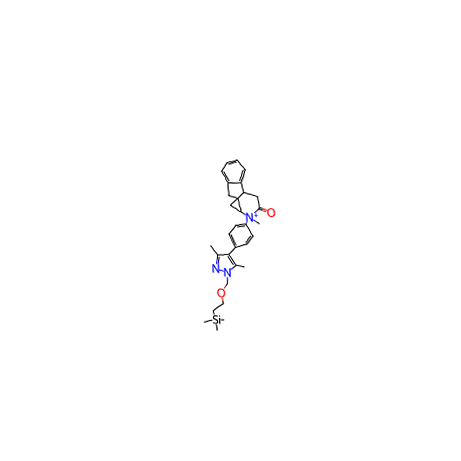 Cc1nn(COCC[Si](C)(C)C)c(C)c1-c1ccc([N+]2(C)C(=O)CC3c4ccccc4CC34CC42)cc1